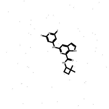 CC1(C)CCC1NC(=O)c1nc(Nc2cc(F)nc(F)c2)cc2cc[nH]c12